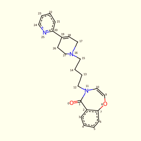 O=C1c2ccccc2OC=CN1CCCCN1CC=C(c2ccccn2)CC1